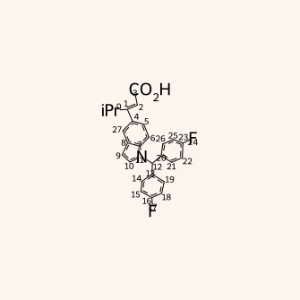 CC(C)/C(=C\C(=O)O)c1ccc2c(ccn2C(c2ccc(F)cc2)c2ccc(F)cc2)c1